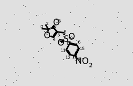 CC1(C)OC=C(CS(=O)(=O)c2ccc([N+](=O)[O-])cc2)C1=O